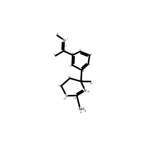 C/N=C(\C)c1cccc(C2(C)CCSC(N)=N2)c1